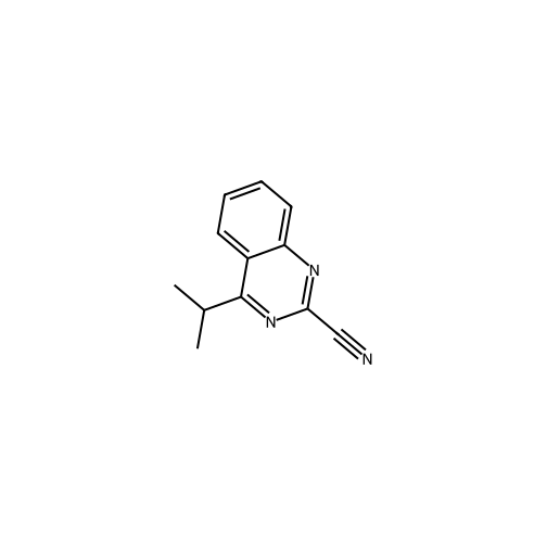 CC(C)c1nc(C#N)nc2ccccc12